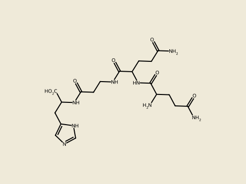 NC(=O)CCC(N)C(=O)NC(CCC(N)=O)C(=O)NCCC(=O)NC(Cc1cnc[nH]1)C(=O)O